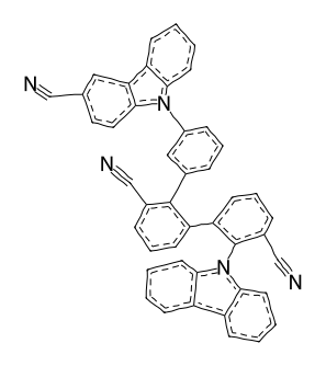 N#Cc1ccc2c(c1)c1ccccc1n2-c1cccc(-c2c(C#N)cccc2-c2cccc(C#N)c2-n2c3ccccc3c3ccccc32)c1